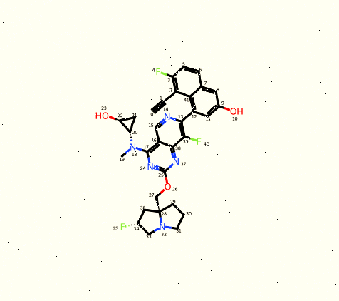 C#Cc1c(F)ccc2cc(O)cc(-c3ncc4c(N(C)[C@H]5C[C@@H]5O)nc(OC[C@@]56CCCN5C[C@H](F)C6)nc4c3F)c12